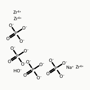 O=P([O-])([O-])[O-].O=P([O-])([O-])[O-].O=P([O-])([O-])[O-].O=P([O-])([O-])[O-].[Na+].[OH-].[Zr+4].[Zr+4].[Zr+4]